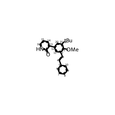 COc1c(C=Cc2ccccc2)cc(-c2ccc[nH]c2=O)cc1C(C)(C)C